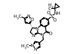 Cc1cc([C@H]2CN=C3N(Cc4cnn(C)c4)C(=O)c4cc(S(=O)(=O)NC5(C)CC5)ccc4N32)on1